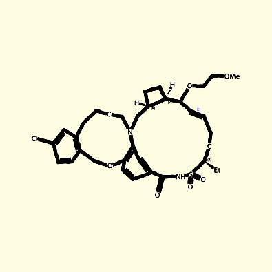 CC[C@@H]1CC/C=C/C(OCCOC)[C@@H]2CC[C@H]2CN2CCCCc3cc(Cl)ccc3COc3ccc(cc32)C(=O)NS1(=O)=O